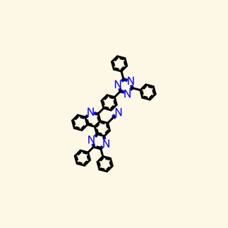 N#Cc1cc2nc(-c3ccccc3)c(-c3ccccc3)nc2c2c1c(-c1ccc(-c3nc(-c4ccccc4)nc(-c4ccccc4)n3)cc1)nc1ccccc12